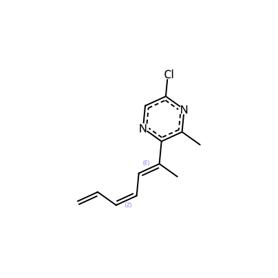 C=C/C=C\C=C(/C)c1ncc(Cl)nc1C